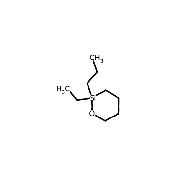 CCC[Si]1(CC)CCCCO1